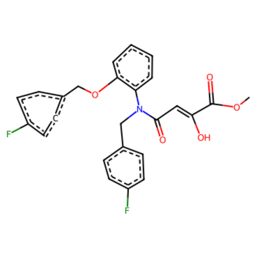 COC(=O)C(O)=CC(=O)N(Cc1ccc(F)cc1)c1ccccc1OCc1ccc(F)cc1